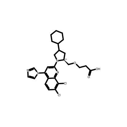 O=C(O)CCOC[C@@H]1CC(C2CCCCC2)CN1c1cc(-n2ccnc2)c2ccc(Cl)c(Cl)c2n1